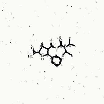 CC1C(C(=O)O)NC(c2ccccc2)C1C(=O)OC(=O)N(C(C)C)C(C)C